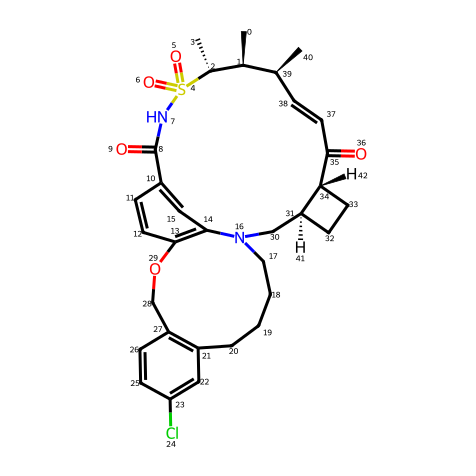 C[C@@H]1[C@@H](C)S(=O)(=O)NC(=O)c2ccc3c(c2)N(CCCCc2cc(Cl)ccc2CO3)C[C@@H]2CC[C@H]2C(=O)/C=C/[C@@H]1C